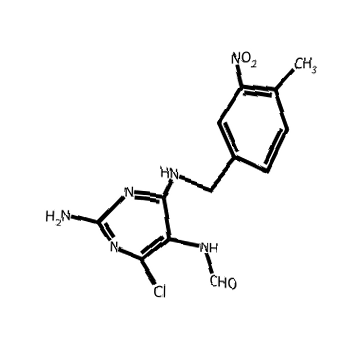 Cc1ccc(CNc2nc(N)nc(Cl)c2NC=O)cc1[N+](=O)[O-]